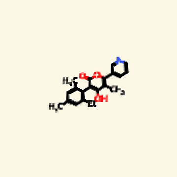 CCc1cc(C)cc(C)c1-c1c(O)c(C)c(-c2cccnc2)oc1=O